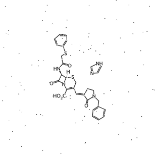 O=C(CSc1ccccc1)N[C@@H]1C(=O)N2C(C(=O)O)=C(/C=C3\CCN(Cc4ccccc4)C3=O)CS[C@H]12.c1c[nH]cn1